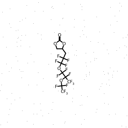 O=C1OCC(CC(F)(F)C(F)(F)OC(F)(F)C(F)(OC(F)(F)C(F)(F)F)C(F)(F)F)O1